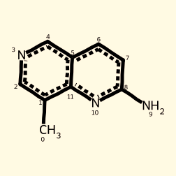 Cc1cncc2ccc(N)nc12